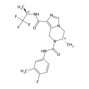 Cc1cc(NC(=O)N2Cc3c(C(=O)N[C@H](C)C(F)(F)F)ncn3C[C@@H]2C)ccc1F